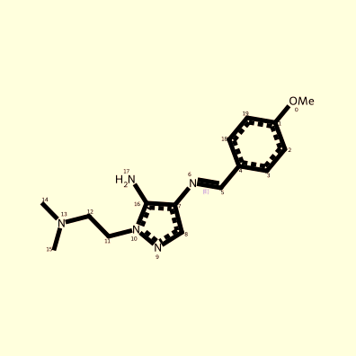 COc1ccc(/C=N/c2cnn(CCN(C)C)c2N)cc1